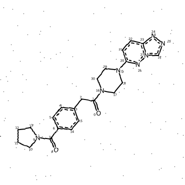 O=C(Cc1ccc(C(=O)N2CCCC2)cc1)N1CCN(c2ccc3nncn3n2)CC1